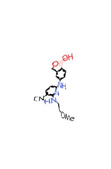 [C-]#[N+]c1ccc(Nc2ccc3c(c2)COB3O)nc1NCCOC